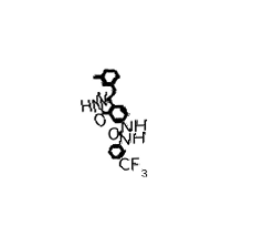 Cc1cccc(Cc2n[nH]c(=O)c3cc(NC(=O)Nc4cccc(C(F)(F)F)c4)ccc23)c1